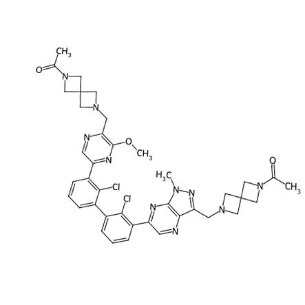 COc1nc(-c2cccc(-c3cccc(-c4cnc5c(CN6CC7(C6)CN(C(C)=O)C7)nn(C)c5n4)c3Cl)c2Cl)cnc1CN1CC2(C1)CN(C(C)=O)C2